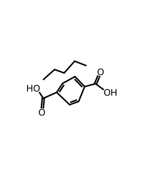 CCCCC.O=C(O)c1ccc(C(=O)O)cc1